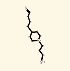 O=[C]CCCC1CCN(CCCO)CC1